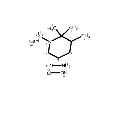 CC1CCCN(C)C1(C)C.N[O].OCl.[NaH]